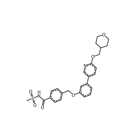 CS(=O)(=O)NC(=O)c1ccc(COc2cccc(-c3ccc(OCC4CCOCC4)nc3)c2)cc1